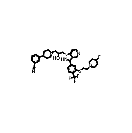 N#Cc1cccc(C2CCN(C[C@H](O)CN3NC(c4ccc(C(F)(F)F)c(SCCN5CCC(F)CC5)c4)C4CN=CC=C43)CC2)c1